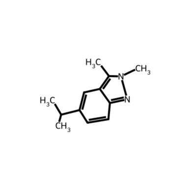 Cc1c2cc(C(C)C)ccc2nn1C